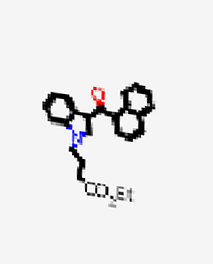 CCOC(=O)CCCn1cc(C(=O)c2cccc3ccccc23)c2ccccc21